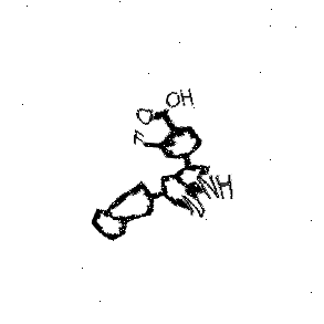 O=C(O)c1ccc(-c2c[nH]c3ncc(-c4ccc5ccccc5c4)cc23)cc1F